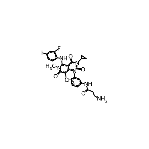 Cc1c(=O)n(C)c(Nc2ccc(I)cc2F)c2c(=O)n(C3CC3)c(=O)n(-c3cccc(NC(=O)CCN)c3)c12